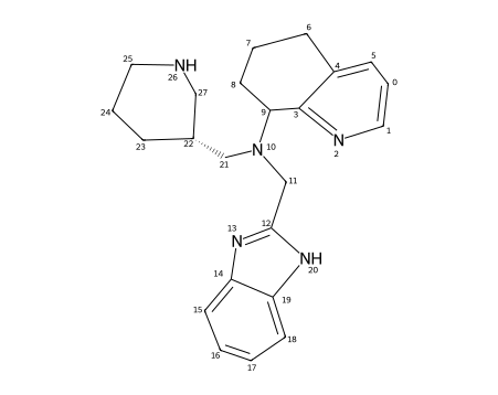 c1cnc2c(c1)CCCC2N(Cc1nc2ccccc2[nH]1)C[C@@H]1CCCNC1